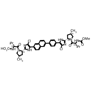 COC(=O)N[C@H](C(=O)N1C[C@@H](C)C[C@H]1c1nc(Cl)c(-c2ccc(-c3ccc4cc(-c5[nH]c([C@@H]6C[C@H](C)CN6C(=O)[C@@H](NC(=O)O)C(C)C)nc5Cl)ccc4c3)cc2)[nH]1)C(C)C